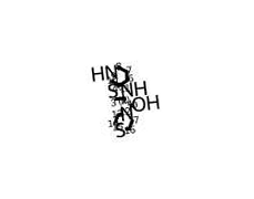 OC([C@@H]1CSC2(CCCNC2)N1)N1CCSCC1